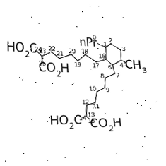 CCCC1CCC(C)C(CCCCCCC(C(=O)O)C(=O)O)C1CCCCCCC(C(=O)O)C(=O)O